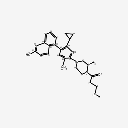 COCCC(=O)N1CCN(c2nc(C3CC3)c(-c3cccc4nc(O)ccc34)cc2N)C[C@H]1C